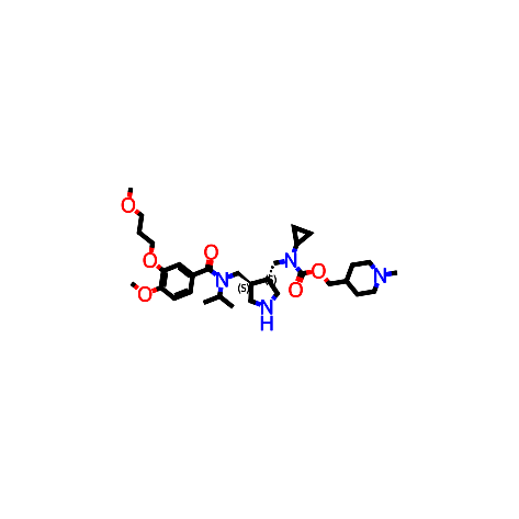 COCCCOc1cc(C(=O)N(C[C@@H]2CNC[C@H]2CN(C(=O)OCC2CCN(C)CC2)C2CC2)C(C)C)ccc1OC